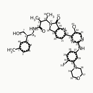 Cc1cccc([C@@H](CO)SNC(=O)C(C)[C@@H](C)N2Cc3ccc(-c4nc(Nc5ccc(F)c(N6CCOCC6)c5)ncc4Cl)nc3C2=O)c1